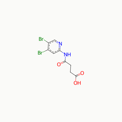 O=C(O)CCC(=O)Nc1cc(Br)c(Br)cn1